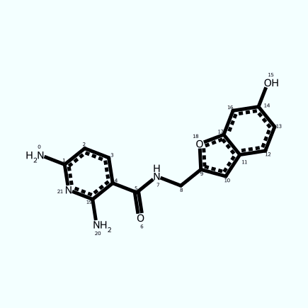 Nc1ccc(C(=O)NCc2cc3ccc(O)cc3o2)c(N)n1